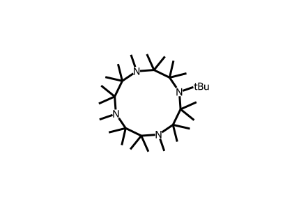 CN1C(C)(C)C(C)(C)N(C)C(C)(C)C(C)(C)N(C(C)(C)C)C(C)(C)C(C)(C)N(C)C(C)(C)C1(C)C